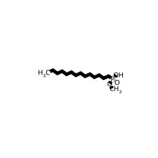 CCCCCCCCCCCCCCP(=O)(O)OC